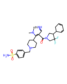 CCCN(C)/C(=C(\C=N)C(=O)N1CC(C2C=CC=CC2)C(F)(F)C1)C1CCN(Cc2ccc(S(N)(=O)=O)cc2)CC1